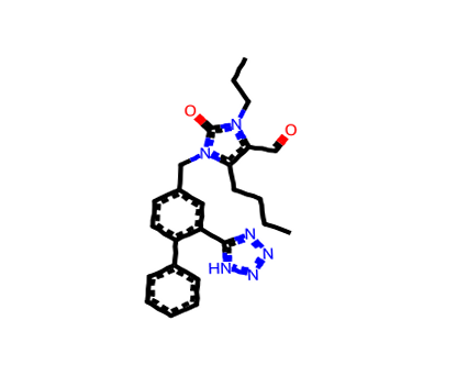 CCCCc1c(C=O)n(CCC)c(=O)n1Cc1ccc(-c2ccccc2)c(-c2nnn[nH]2)c1